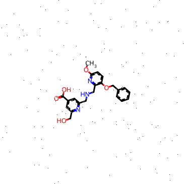 COc1ccc(OCc2ccccc2)c(CNCc2cc(C(=O)O)cc(CO)n2)n1